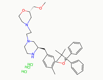 COC[C@@H]1CN(CCN2CCN[C@H](Cc3ccc(C)c(O[Si](c4ccccc4)(c4ccccc4)C(C)(C)C)c3)C2)CCO1.Cl.Cl.Cl